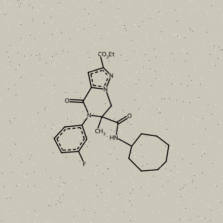 CCOC(=O)c1cc2n(n1)CC(C)(C(=O)NC1CCCCCCC1)N(c1cccc(F)c1)C2=O